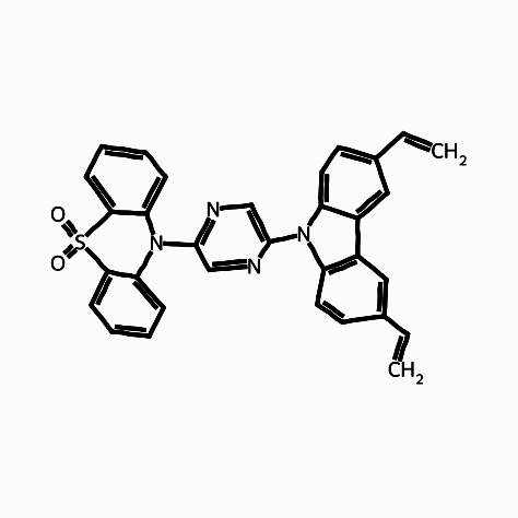 C=Cc1ccc2c(c1)c1cc(C=C)ccc1n2-c1cnc(N2c3ccccc3S(=O)(=O)c3ccccc32)cn1